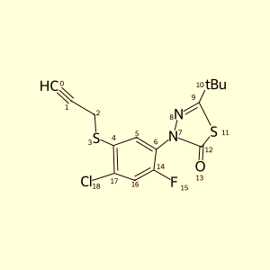 C#CCSc1cc(-n2nc(C(C)(C)C)sc2=O)c(F)cc1Cl